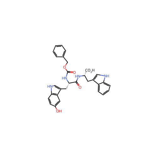 O=C(N[C@@H](Cc1c[nH]c2ccc(O)cc12)C(=O)N[C@@H](Cc1c[nH]c2ccccc12)C(=O)O)OCc1ccccc1